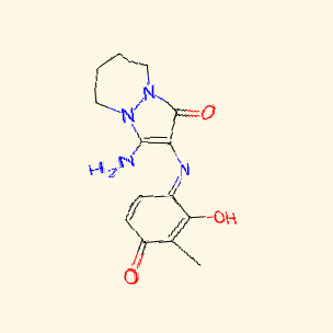 CC1=C(O)/C(=N/c2c(N)n3n(c2=O)CCCC3)C=CC1=O